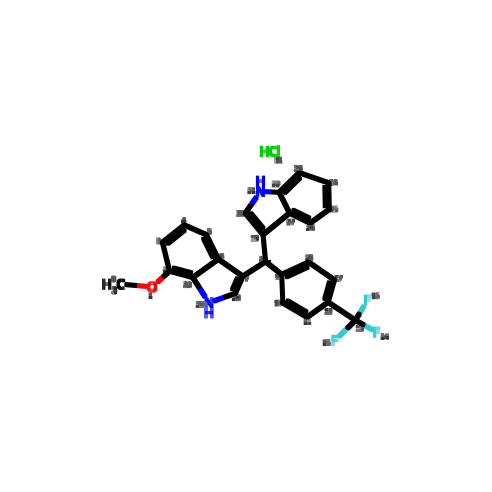 COc1cccc2c([C](c3ccc(C(F)(F)F)cc3)c3c[nH]c4ccccc34)c[nH]c12.Cl